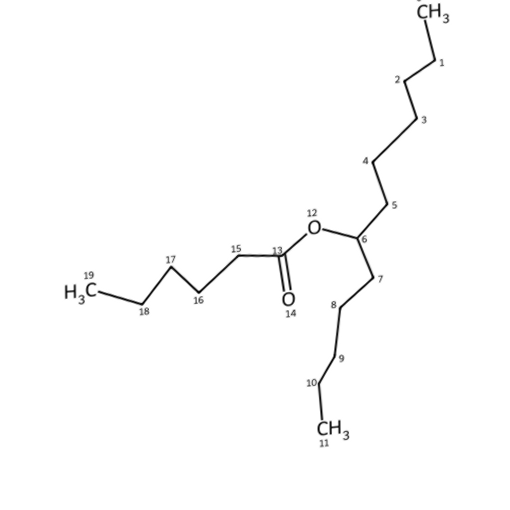 CCCCCCC(CCCCC)OC(=O)CCCCC